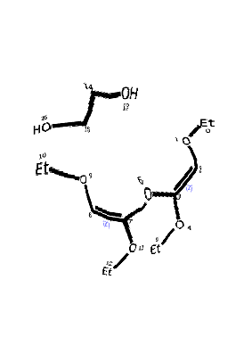 CCO/C=C(/OCC)O/C(=C\OCC)OCC.OCCO